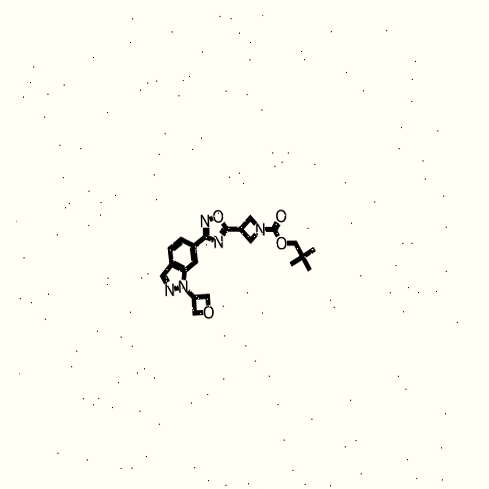 CC(C)(C)COC(=O)N1CC(c2nc(-c3ccc4cnn(C5COC5)c4c3)no2)C1